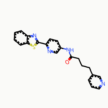 O=C(CCCc1cccnc1)Nc1ccc(-c2nc3ccccc3s2)nc1